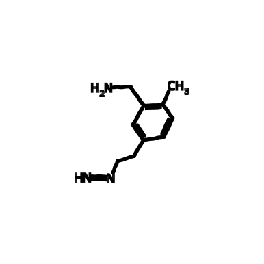 Cc1ccc(CCN=N)cc1CN